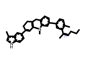 CCC/C=C(/C)c1cc(-c2ccc3c(c2)N(C)C2=C(CCC(c4ccc5[nH]cc(C)c5c4)=C2)C3)ccc1C